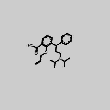 C=CCOc1c(C(=O)O)cccc1C(CCN(C(C)C)C(C)C)c1ccccc1